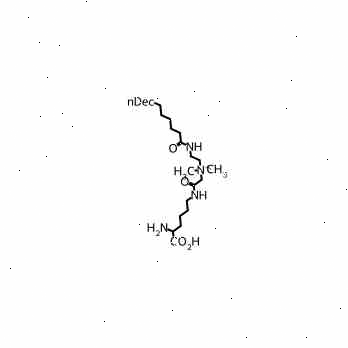 CCCCCCCCCCCCCCCC(=O)NCC[N+](C)(C)CC(=O)NCCCCC(N)C(=O)O